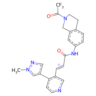 Cn1cc(-c2ccncc2/C=C/C(=O)Nc2ccc3c(c2)CN(C(=O)C(F)(F)F)CC3)cn1